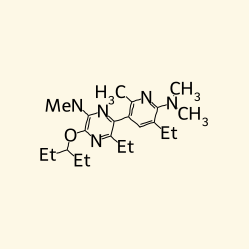 CCc1cc(-c2nc(NC)c(OC(CC)CC)nc2CC)c(C)nc1N(C)C